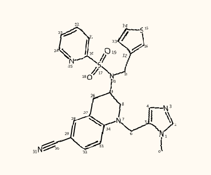 Cn1cncc1CN1CC(N(Cc2ccsc2)S(=O)(=O)c2ccccn2)Cc2cc(C#N)ccc21